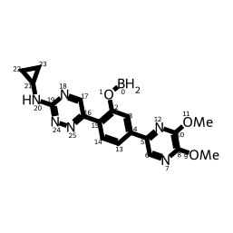 BOc1cc(-c2cnc(OC)c(OC)n2)ccc1-c1cnc(NC2CC2)nn1